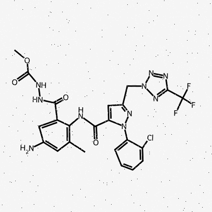 COC(=O)NNC(=O)c1cc(N)cc(C)c1NC(=O)c1cc(Cn2nnc(C(F)(F)F)n2)nn1-c1ccccc1Cl